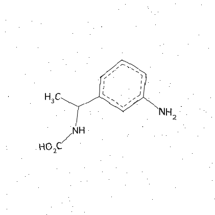 CC(NC(=O)O)c1cccc(N)c1